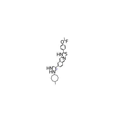 CC1CCCC(N/C=C(\C=N)c2ccc3cnc(NC(=S)c4ccc(OC(C)F)cc4)cc3c2)CCC1